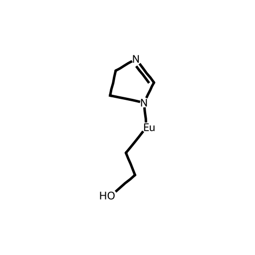 OC[CH2][Eu][N]1C=NCC1